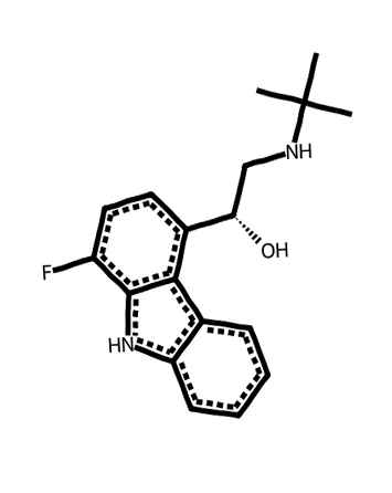 CC(C)(C)NC[C@H](O)c1ccc(F)c2[nH]c3ccccc3c12